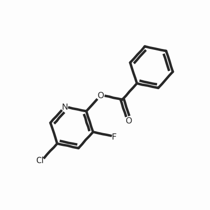 O=C(Oc1ncc(Cl)cc1F)c1ccccc1